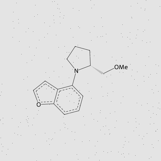 COC[C@H]1CCCN1c1cccc2occc12